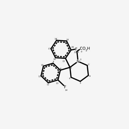 O=C(O)CN1CCCCC1(c1ccccc1F)c1ccccc1F